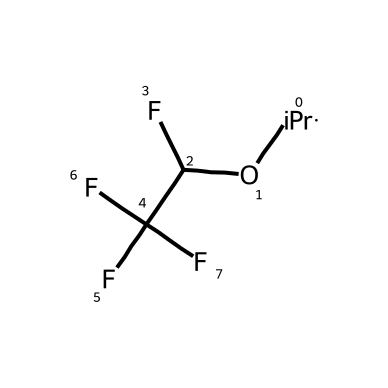 C[C](C)OC(F)C(F)(F)F